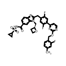 Cc1ccc(COc2nccc(-c3cc(F)c(Cc4nc5ccc(C(=O)NS(=O)(=O)C6CC6)cc5n4C[C@@H]4CCO4)cc3F)n2)c(F)c1